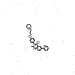 Cc1nc2ccc(-c3ccccn3)cc2c(=O)n1-c1ccc(OCCCN2CCCCC2)cc1